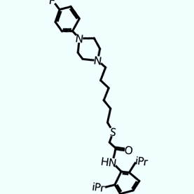 CC(C)c1cccc(C(C)C)c1NC(=O)CSCCCCCCN1CCN(c2ccc(F)cc2)CC1